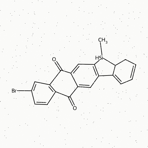 C[SiH]1c2cc3c(cc2C2=CC=CCC21)C(=O)c1ccc(Br)cc1C3=O